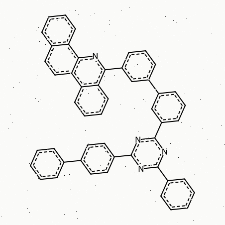 c1ccc(-c2ccc(-c3nc(-c4ccccc4)nc(-c4cccc(-c5cccc(-c6nc7c8ccccc8ccc7c7ccccc67)c5)c4)n3)cc2)cc1